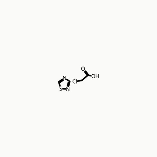 O=C(O)CCl.c1ncsn1